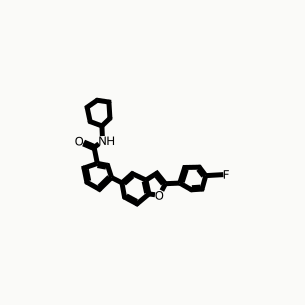 O=C(NC1CCCCC1)c1cccc(-c2ccc3oc(-c4ccc(F)cc4)cc3c2)c1